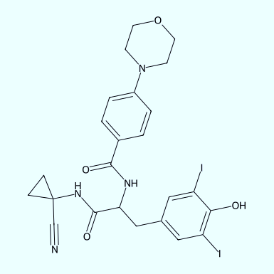 N#CC1(NC(=O)C(Cc2cc(I)c(O)c(I)c2)NC(=O)c2ccc(N3CCOCC3)cc2)CC1